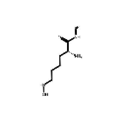 CCCNC(=O)[C@H](N)CCCCNO